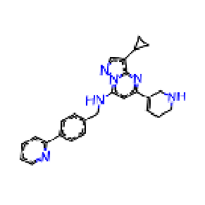 C1=C(c2cc(NCc3ccc(-c4ccccn4)cc3)n3ncc(C4CC4)c3n2)CNCC1